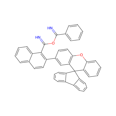 N=C(OC(=N)c1c(-c2ccc3c(c2)C2(c4ccccc4O3)c3ccccc3-c3ccccc32)ccc2ccccc12)c1ccccc1